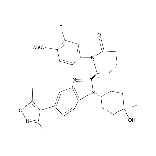 COc1ccc(N2C(=O)CCC[C@H]2c2nc3cc(-c4c(C)noc4C)ccc3n2[C@H]2CC[C@](C)(O)CC2)cc1F